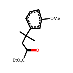 CCOC(=O)C(=O)CC(C)(C)c1cccc(OC)c1